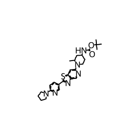 CC1CC(NC(=O)OC(C)(C)C)CCN1c1cc2sc(-c3ccc(N4CCCC4)nc3)nc2cn1